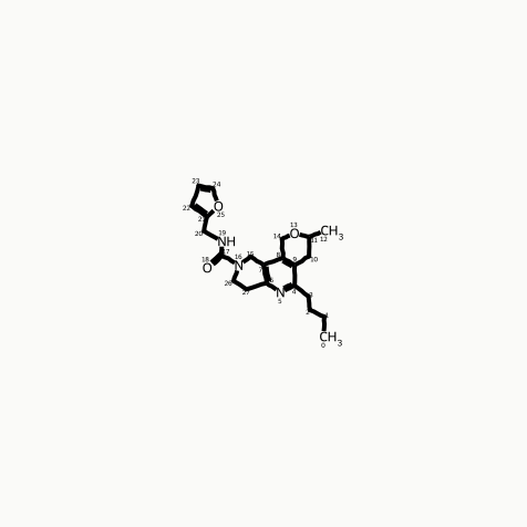 CCCCc1nc2c(c3c1CC(C)OC3)CN(C(=O)NCc1ccco1)CC2